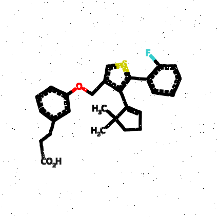 CC1(C)CCC=C1c1c(COc2cccc(CCC(=O)O)c2)csc1-c1ccccc1F